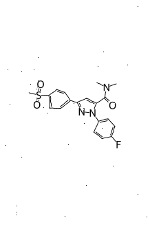 CN(C)C(=O)c1cc(-c2ccc(S(C)(=O)=O)cc2)nn1-c1ccc(F)cc1